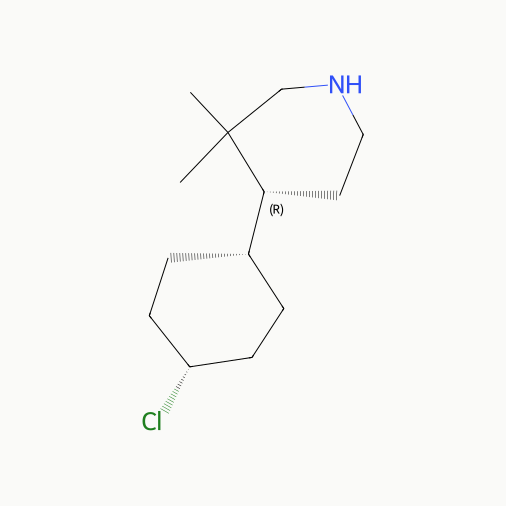 CC1(C)CNCC[C@@H]1[C@H]1CC[C@@H](Cl)CC1